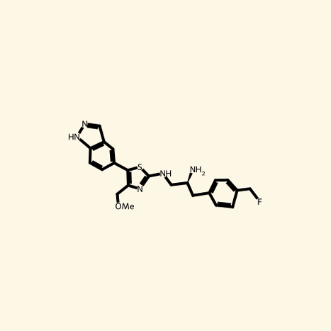 COCc1nc(NC[C@@H](N)Cc2ccc(CF)cc2)sc1-c1ccc2[nH]ncc2c1